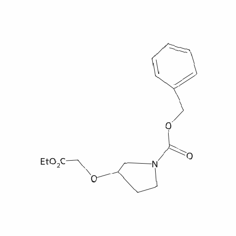 CCOC(=O)COC1CCN(C(=O)OCc2ccccc2)C1